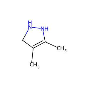 CC1=C(C)NNC1